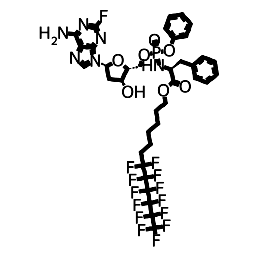 Nc1nc(F)nc2c1ncn2[C@H]1C[C@H](O)[C@@H](COP(=O)(N[C@@H](Cc2ccccc2)C(=O)OCCCCCCC(F)(F)C(F)(F)C(F)(F)C(F)(F)C(F)(F)C(F)(F)F)Oc2ccccc2)O1